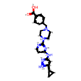 O=C(O)c1ccc(CN2CCN(c3nccc(Nc4cc(C5CC5)[nH]n4)n3)CC2)cc1